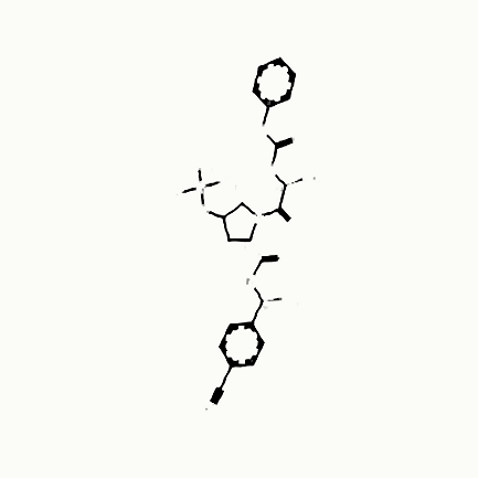 C#Cc1ccc([C@H](C)NC(=O)[C@@H]2CC(O[Si](C)(C)C(C)(C)C)CN2C(=O)[C@@H](OC(=O)Oc2ccccc2)C(C)(C)C)cc1